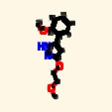 COCCOc1cc(-c2ccccc2OC)[nH]n1